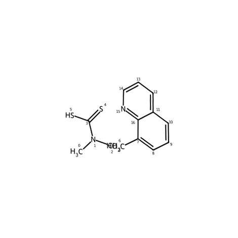 CN(C)C(=S)S.O=C(O)c1cccc2cccnc12